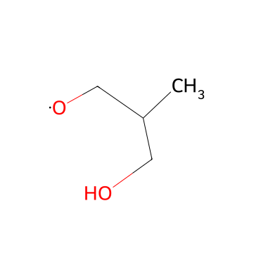 CC(C[O])CO